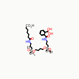 CCO[Si](C)(CCCNC(=O)CCCCCC(=O)O)OCCCCO[Si](C)(CCCNC(=O)c1ccccc1C(O)O)OCC